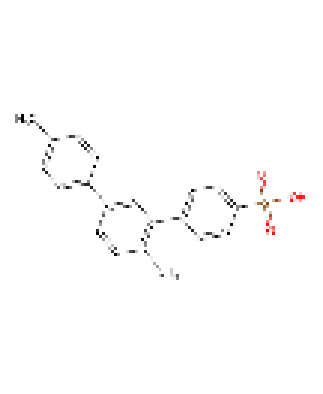 Cc1ccc(-c2ccc(C)c(-c3ccc(S(=O)(=O)O)cc3)c2)cc1